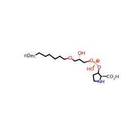 CCCCCCCCCCCCCCCCOC[C@H](O)COP(=O)(O)OC1CCN[C@@H]1C(=O)O